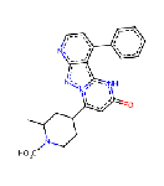 CC1CC(c2cc(=O)[nH]c3c4c(-c5ccccc5)ccnc4nn23)CCN1C(=O)O